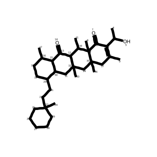 CC1=C(C(C)O)C(=O)C2(C)C(C)C3C(=O)C4C(C)CCC(CCC5(C)CCCCC5)C4CC3(C)CC2(C)C1